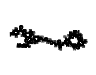 CN[C@H](C)C(=O)N[C@@H](C(=O)N1CCC[C@@H]1C1=NC(C(=O)c2ccc(F)cc2)CS1)C1CCN(CCOCCOCCC(=O)N(C)CCn2nc3c(c2C)-c2cnc(N)c(c2)N2CCC[C@@H]2c2cc(F)ccc2C(=O)N(C)C3)CC1